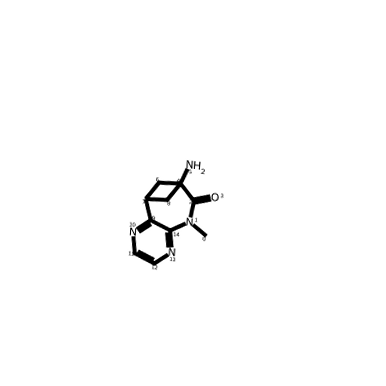 CN1C(=O)C2(N)CC(C2)c2nccnc21